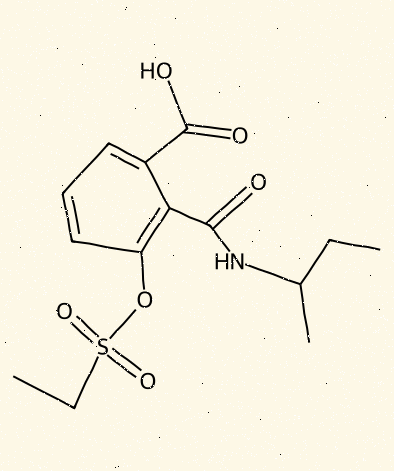 CCC(C)NC(=O)c1c(OS(=O)(=O)CC)cccc1C(=O)O